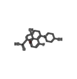 C[N+]12CC=C(C(=O)O)C(=O)C13C=CC=C(F)C3=C(N1CCC(O)CC1)CC2